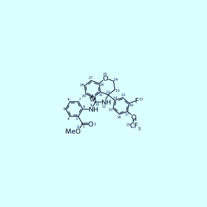 COC(=O)c1ccccc1NC(=O)NC1(c2ccc(OC(F)(F)F)c(F)c2)CCOc2cccnc21